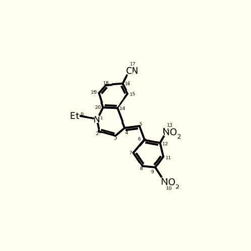 CCN1C=CC(=Cc2ccc([N+](=O)[O-])cc2[N+](=O)[O-])c2cc(C#N)ccc21